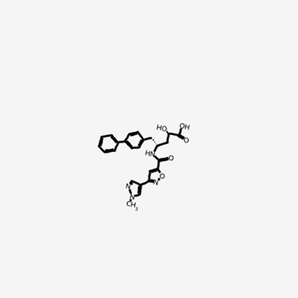 Cn1cc(-c2cc(C(=O)N[C@H](Cc3ccc(-c4ccccc4)cc3)C[C@@H](O)C(=O)O)on2)cn1